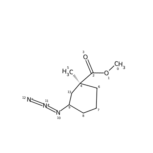 COC(=O)[C@@]1(C)CCCC(N=[N+]=[N-])C1